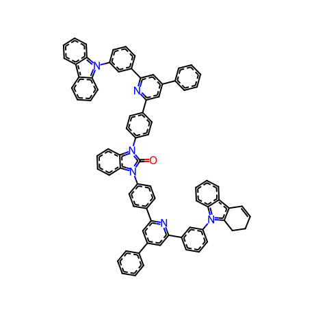 O=c1n(-c2ccc(-c3cc(-c4ccccc4)cc(-c4cccc(-n5c6c(c7ccccc75)C=CCC6)c4)n3)cc2)c2ccccc2n1-c1ccc(-c2cc(-c3ccccc3)cc(-c3cccc(-n4c5ccccc5c5ccccc54)c3)n2)cc1